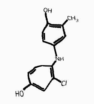 Cc1cc(Nc2ccc(O)cc2Cl)ccc1O